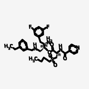 CCCCS(=O)(=O)C[C@@H](NC(=O)c1ccncc1)C(=O)O[C@H](CNCc1cccc(CC)c1)[C@@H](N)Cc1cc(F)cc(F)c1